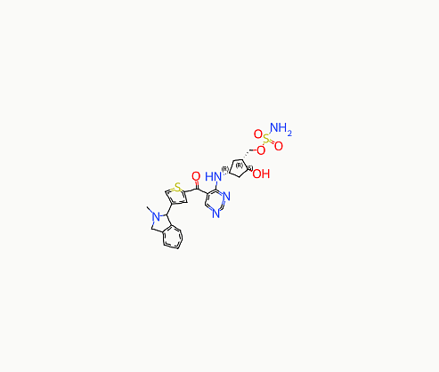 CN1Cc2ccccc2C1c1csc(C(=O)c2cncnc2N[C@@H]2C[C@H](COS(N)(=O)=O)[C@@H](O)C2)c1